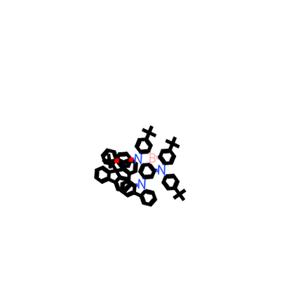 CC(C)(C)c1ccc(N2c3ccc(C(C)(C)C)cc3B3c4cc(C(C)(C)C)ccc4N(c4ccc(C(C)(C)C)cc4)c4cc(-n5c6ccccc6c6cccc(-c7cccc8c7C7(c9ccccc9-c9ccccc97)c7ccccc7-8)c65)cc2c43)cc1